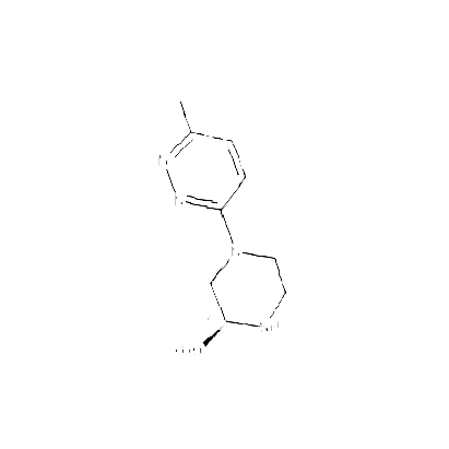 CC(C)(C)[C@H]1CN(c2ccc(I)nn2)CCN1